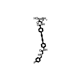 NC[C@H](NC(=O)c1ccc(C#CC#Cc2ccc(NC(=O)CNCc3ccc(F)cc3)cc2)cc1)C(=O)NO